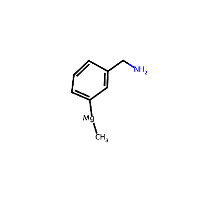 [CH3][Mg][c]1cccc(CN)c1